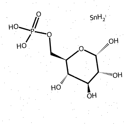 O=P(O)(O)OC[C@H]1O[C@H](O)[C@H](O)[C@@H](O)[C@@H]1O.[SnH2]